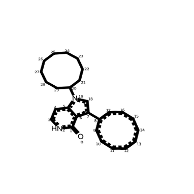 O=c1[nH]ccc2c1c(-c1ccccccccc1)cn2C1CCCCCCCCC1